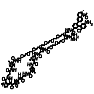 CC(=O)N1c2ccc(-c3ccc(C(=O)NCCOCCOCCOCCOCCOCCOCCOCCOCCNC(=O)c4nc(NC(=O)CCNC(=O)c5c(NC(=O)c6nc(NC(=O)CCNC(=O)c7cc(NC(=O)c8nc(NC(=O)CCNC(=O)COCCOCCOCCNC(=N)N)cn8C)cn7C)cn6C)ccn5C)cn4C)cc3-c3cc(N)ccc3Cl)cc2CC[C@@H]1C